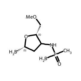 B[C@H]1CC(NP(B)(C)=O)[C@@H](COC)O1